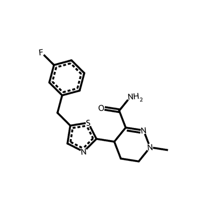 CN1CCC(c2ncc(Cc3cccc(F)c3)s2)C(C(N)=O)=N1